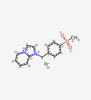 CS(=O)(=O)c1ccc(Cn2cc[n+]3ccccc23)cc1.[Br-]